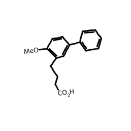 COc1ccc(-c2ccccc2)cc1CCCC(=O)O